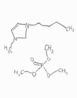 CCCCN1C=CN(C)C1.COP(=O)(OC)OC